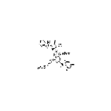 CCCCCNc1nc(N(C)c2c(C)cc(C)cc2C)nc(NCCCOC)c1N=Nc1nn(-c2nc3ccccc3s2)c(C)c1C#N